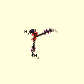 CCCCCC(I)C(I)CC(I)C(I)CCCCCCCC(=O)OCC(COP(=O)([O-])OCC[N+](C)(C)C)OC(=O)CCCCCCCCC(I)C(I)CC(I)C(I)CC(I)C(C)I